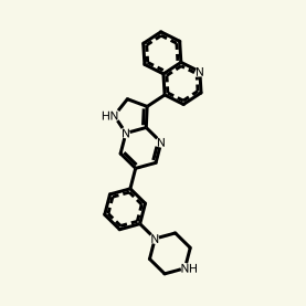 C1=NC2=C(c3ccnc4ccccc34)CNN2C=C1c1cccc(N2CCNCC2)c1